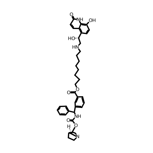 O=C(NC(c1ccccc1)c1cccc(C(=O)OCCCCCCCCNC[C@H](O)c2ccc(O)c3[nH]c(=O)ccc23)c1)O[C@H]1CN2CCC1CC2